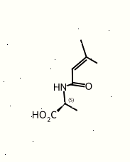 CC(C)=CC(=O)N[C@@H](C)C(=O)O